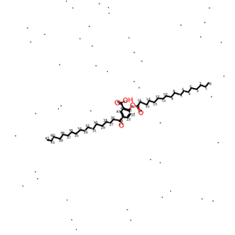 CCCCCCCCCCCCCCCCCC(=O)Oc1ccc(C(=O)CCCCCCCCCCCCCCCCC)cc1C(=O)O